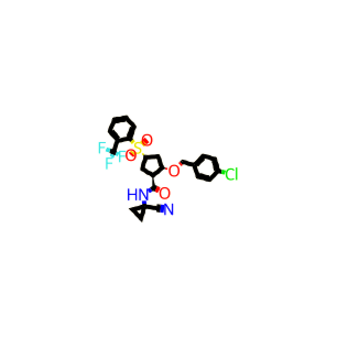 N#CC1(NC(=O)[C@H]2C[C@H](S(=O)(=O)c3ccccc3C(F)(F)F)C[C@@H]2OCc2ccc(Cl)cc2)CC1